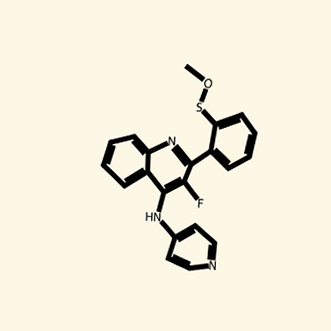 COSc1ccccc1-c1nc2ccccc2c(Nc2ccncc2)c1F